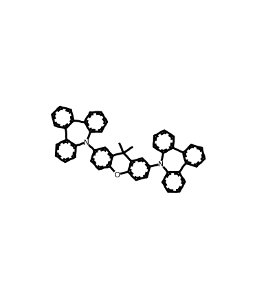 CC1(C)c2cc(N3c4ccccc4-c4ccccc4-c4ccccc43)ccc2Oc2ccc(N3c4ccccc4-c4ccccc4-c4ccccc43)cc21